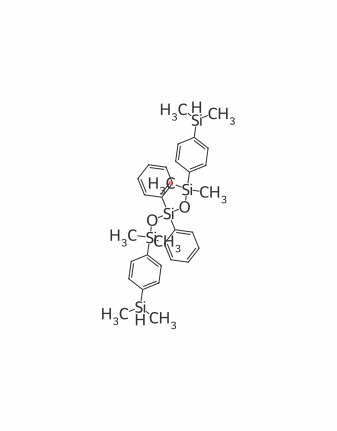 C[SiH](C)c1ccc([Si](C)(C)O[Si](O[Si](C)(C)c2ccc([SiH](C)C)cc2)(c2ccccc2)c2ccccc2)cc1